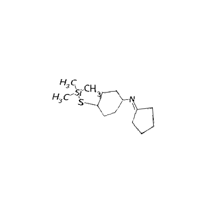 C[Si](C)(C)SC1CCC(N=C2CCCC2)CC1